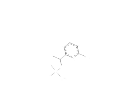 CC(O[Si](C)(C)C(C)(C)C)c1cccc(F)n1